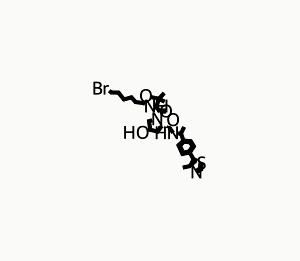 Cc1ncsc1-c1ccc(C(C)NC(=O)[C@@H]2C[C@@H](O)CN2C(=O)C(NC(=O)CCCCCBr)C(C)(C)C)cc1